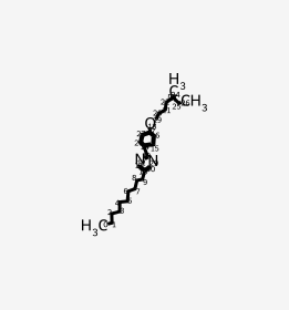 CCCCCCCCCCc1cnc(-c2ccc(OCCCC[C@@H](C)CC)cc2)nc1